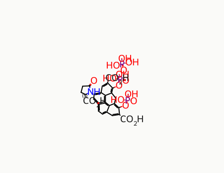 O=C(O)c1cc2ccccc2c(Cc2c(OP(=O)(O)O)c(C(=O)O)cc3ccccc23)c1OP(=O)(O)O.O=C1CC[C@@H](C(=O)O)N1.O=P(O)(O)O